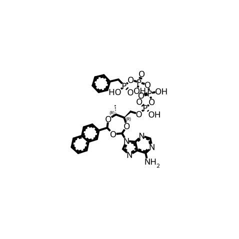 C[C@H]1OC(c2ccc3ccccc3c2)OC(n2cnc3c(N)ncnc32)O[C@@H]1COP(=O)(O)OP(=O)(O)OP(=O)(O)OP(=O)(O)Cc1ccccc1